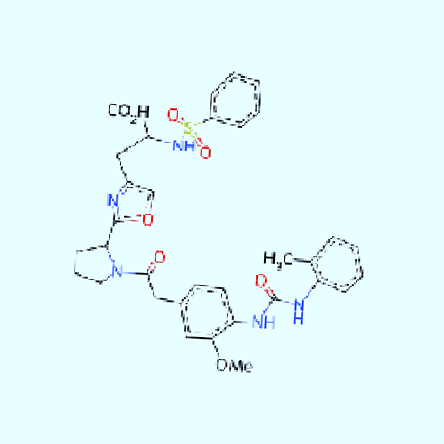 COc1cc(CC(=O)N2CCCC2c2nc(CC(NS(=O)(=O)c3ccccc3)C(=O)O)co2)ccc1NC(=O)Nc1ccccc1C